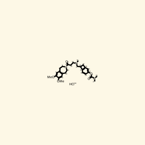 COc1cc2c(cc1OC)CCN(C(=O)CCN(C)CC1Cc3cc(OC(=O)N(C)C)ccc31)CC2.Cl